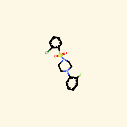 O=S(=O)(c1ccccc1Cl)N1CCN(c2ccccc2F)CC1